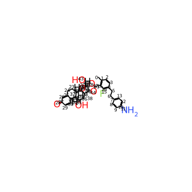 Cc1ccc(CCc2ccc(N)cc2)c(F)c1[C@@H]1O[C@@H]2C[C@H]3[C@@H]4CCC5=CC(=O)C=C[C@]5(C)[C@H]4[C@@H](O)C[C@]3(C)[C@]2(C(=O)CO)O1